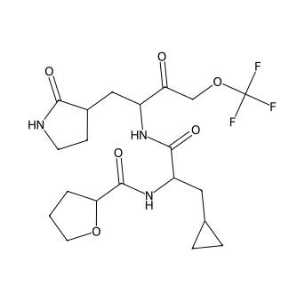 O=C1NCCC1CC(NC(=O)C(CC1CC1)NC(=O)C1CCCO1)C(=O)COC(F)(F)F